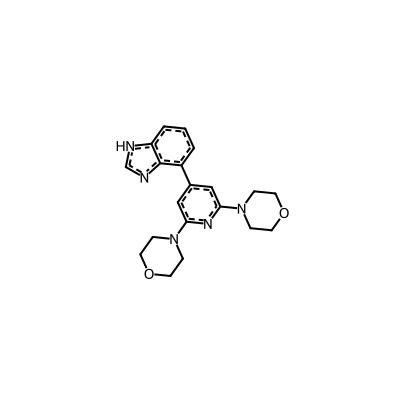 c1cc(-c2cc(N3CCOCC3)nc(N3CCOCC3)c2)c2nc[nH]c2c1